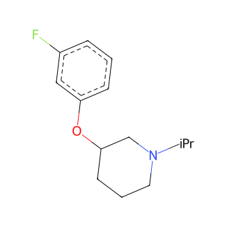 CC(C)N1CCCC(Oc2cccc(F)c2)C1